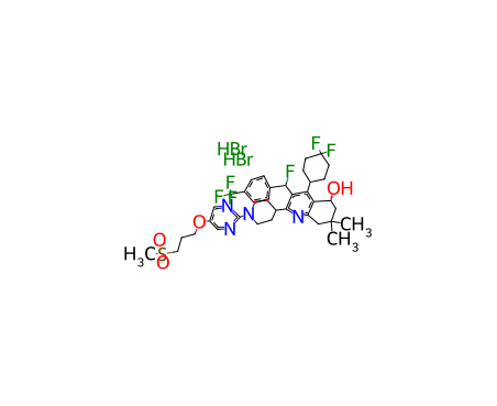 Br.Br.CC1(C)Cc2nc(C3CCN(c4ncc(OCCCS(C)(=O)=O)cn4)CC3)c(C(F)c3ccc(C(F)(F)F)cc3)c(C3CCC(F)(F)CC3)c2[C@@H](O)C1